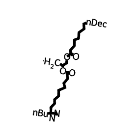 [CH2]C(COC(=O)CCCCCCCCCCCCCCCCC)OC(=O)CCCCCCCCC1(CCCC)N=N1